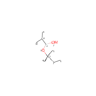 CCC(C)(C)O[C@@H](O)C(C)C